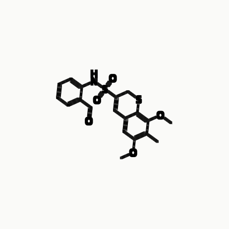 COc1cc2c(c(OC)c1C)SCC(S(=O)(=O)Nc1ccccc1C=O)=C2